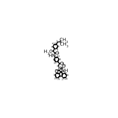 CC(C)Cc1ccc(C(C)C(=O)Nc2ccc(C(=O)CN3C(=O)NC(c4ccccc4)(c4ccccc4)C3=O)cc2)cc1